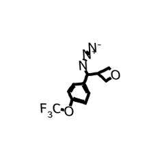 [N-]=[N+]=NC(c1ccc(OC(F)(F)F)cc1)C1COC1